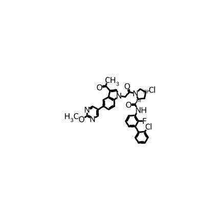 COc1ncc(-c2ccc3c(c2)c(C(C)=O)cn3CC(=O)N2C[C@H](Cl)C[C@H]2C(=O)Nc2cccc(-c3ccccc3Cl)c2F)cn1